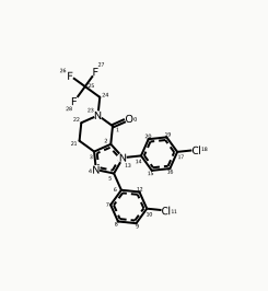 O=C1c2c(nc(-c3cccc(Cl)c3)n2-c2ccc(Cl)cc2)CCN1CC(F)(F)F